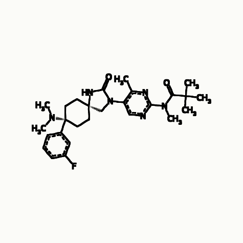 Cc1nc(N(C)C(=O)C(C)(C)C)ncc1N1C[C@]2(CC[C@@](c3cccc(F)c3)(N(C)C)CC2)NC1=O